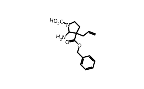 C=CCC1(C(=O)OCc2ccccc2)CCN(C(=O)O)C1N